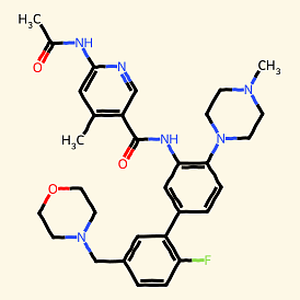 CC(=O)Nc1cc(C)c(C(=O)Nc2cc(-c3cc(CN4CCOCC4)ccc3F)ccc2N2CCN(C)CC2)cn1